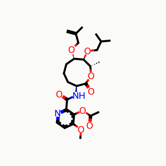 C=C(C)CO[C@H]1CCC[C@H](NC(=O)c2nccc(OC)c2OC(C)=O)C(=O)O[C@@H](C)[C@@H]1OCC(C)C